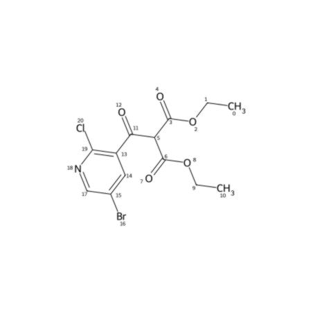 CCOC(=O)C(C(=O)OCC)C(=O)c1cc(Br)cnc1Cl